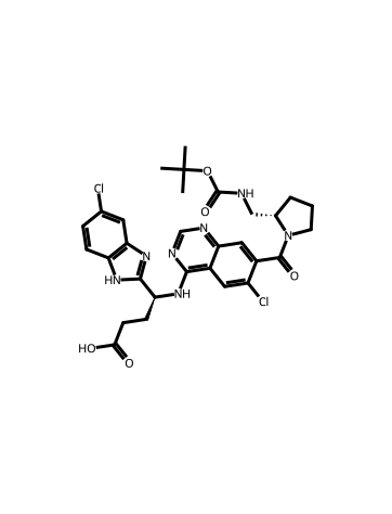 CC(C)(C)OC(=O)NC[C@@H]1CCCN1C(=O)c1cc2ncnc(N[C@@H](CCC(=O)O)c3nc4cc(Cl)ccc4[nH]3)c2cc1Cl